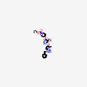 CCc1c(Oc2ccc(NCc3ccccc3)nc2C)ncnc1OC1CCN(C(=O)OC(C)C)CC1